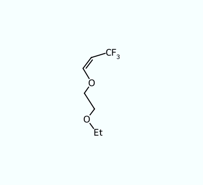 CCOCCO/C=C\C(F)(F)F